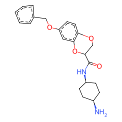 N[C@H]1CC[C@@H](NC(=O)C2COc3ccc(OCc4ccccc4)cc3O2)CC1